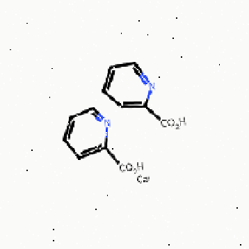 O=C(O)c1ccccn1.O=C(O)c1ccccn1.[Ca]